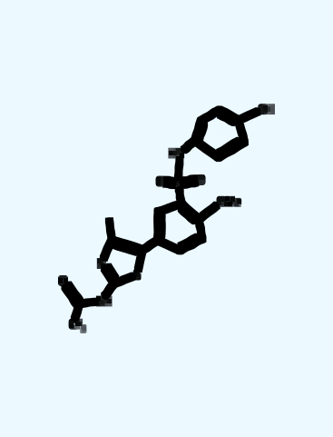 COc1ccc(-c2sc(NC(=O)C(F)(F)F)nc2C)cc1S(=O)(=O)Nc1ccc(O)cc1